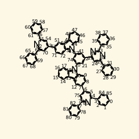 c1ccc(-c2cc(-c3ccc4c(c3)c3ccccc3n4-c3cc(-c4cc(-c5ccccc5)nc(-c5ccccc5)n4)cc(-n4c5ccccc5c5cc(-c6cc(-c7ccccc7)nc(-c7ccccc7)c6)ccc54)c3)cc(-c3ccccc3)n2)cc1